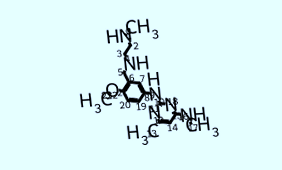 CNCCNCc1cc(Nc2nc(C)cc(NC)n2)ccc1OC